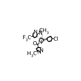 Cc1cc(C(=O)N2C[C@H](CN(C)c3ccc(C(F)(F)F)cn3)[C@@H](c3ccc(Cl)cc3)C2)cnn1